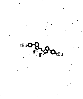 CC(C)C1=Cc2c(-c3ccc(C(C)(C)C)cc3)cccc2C1CCC1C(C(C)C)=Cc2c(-c3ccc(C(C)(C)C)cc3)cccc21